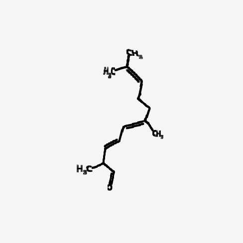 CC(C)=CCCC(C)=CC=CC(C)C=O